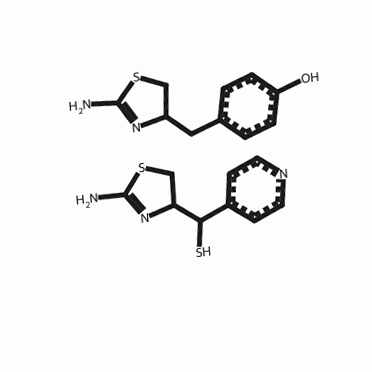 NC1=NC(C(S)c2ccncc2)CS1.NC1=NC(Cc2ccc(O)cc2)CS1